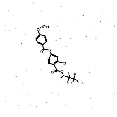 CCCCCCCCOc1ccc(C(=O)Oc2ccc(C(=O)OC(F)C(F)(F)C(F)(F)C(F)(F)F)c(Cl)c2)cc1